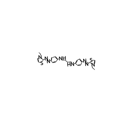 CCN1C=CSC1N=Nc1ccc(NCCCCNc2ccc(N=NC3SC=CN3CC)cc2)cc1